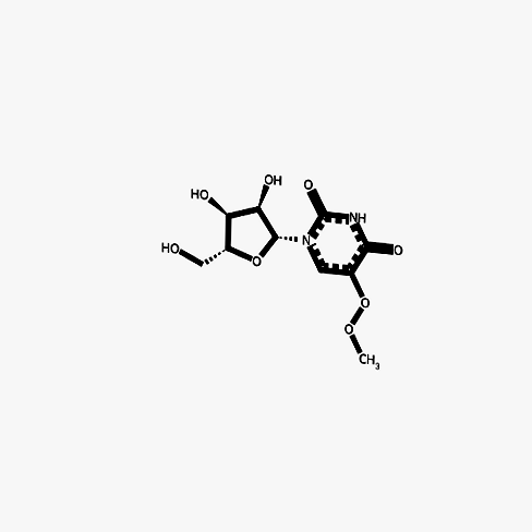 COOc1cn([C@@H]2O[C@H](CO)[C@@H](O)[C@H]2O)c(=O)[nH]c1=O